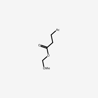 COCOC(=O)CCC(C)=O